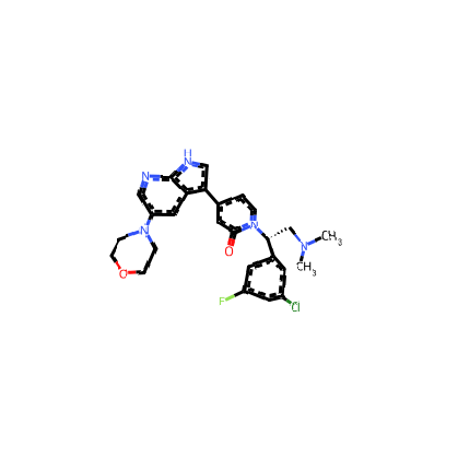 CN(C)C[C@H](c1cc(F)cc(Cl)c1)n1ccc(-c2c[nH]c3ncc(N4CCOCC4)cc23)cc1=O